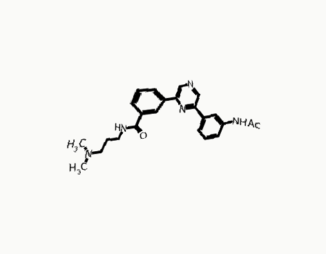 CC(=O)Nc1cccc(-c2cncc(-c3cccc(C(=O)NCCCN(C)C)c3)n2)c1